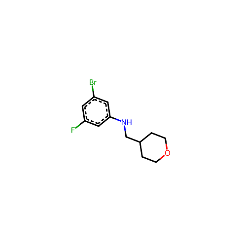 Fc1cc(Br)cc(NCC2CCOCC2)c1